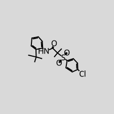 CC(C)(C)c1ccccc1NC(=O)C(C)(C)S(=O)(=O)c1ccc(Cl)cc1